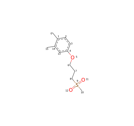 Cc1ccc(OCCCS(C)(=O)=O)cc1C